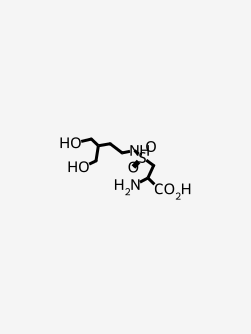 NC(CS(=O)(=O)NCCC(CO)CO)C(=O)O